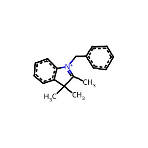 CC1=[N+](Cc2ccccc2)c2ccccc2C1(C)C